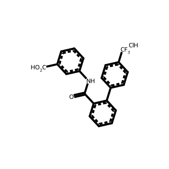 Cl.O=C(O)c1cccc(NC(=O)c2ccccc2-c2ccc(C(F)(F)F)cc2)c1